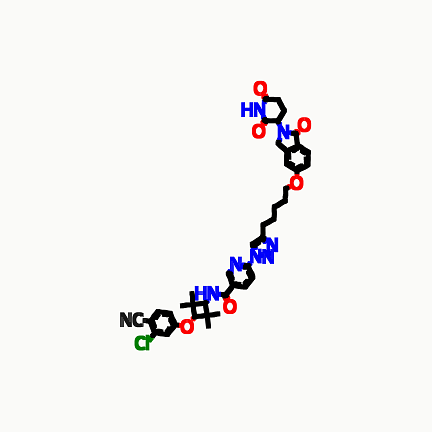 CC1(C)C(NC(=O)c2ccc(-n3cc(CCCCCOc4ccc5c(c4)CN(C4CCC(=O)NC4=O)C5=O)nn3)nc2)C(C)(C)C1Oc1ccc(C#N)c(Cl)c1